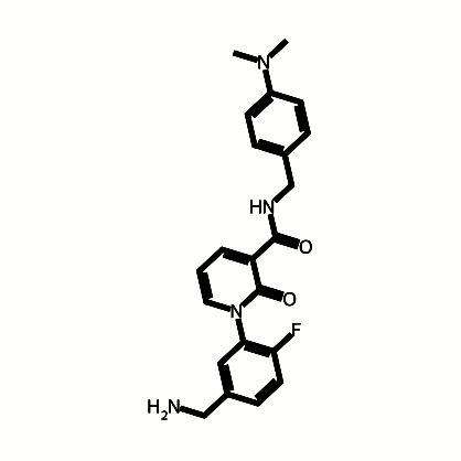 CN(C)c1ccc(CNC(=O)c2cccn(-c3cc(CN)ccc3F)c2=O)cc1